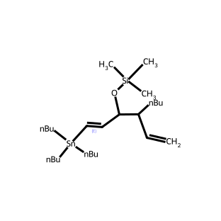 C=CC(CCCC)C(/C=[CH]/[Sn]([CH2]CCC)([CH2]CCC)[CH2]CCC)O[Si](C)(C)C